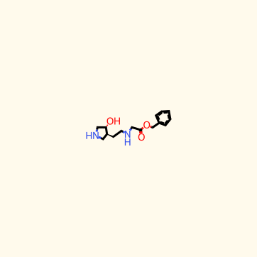 O=C(CNCC[C@H]1CNC[C@@H]1O)OCc1ccccc1